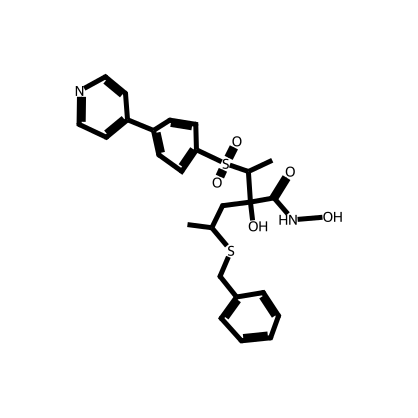 CC(CC(O)(C(=O)NO)C(C)S(=O)(=O)c1ccc(-c2ccncc2)cc1)SCc1ccccc1